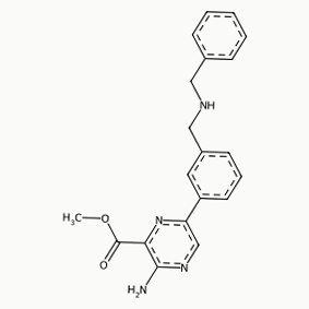 COC(=O)c1nc(-c2cccc(CNCc3ccccc3)c2)cnc1N